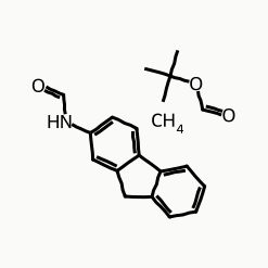 C.CC(C)(C)OC=O.O=CNc1ccc2c(c1)Cc1ccccc1-2